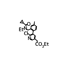 CCOC(=O)Cc1cnc(Cl)c(-c2ccc(C)cc2CN(CC)C(=O)C2CC2)c1